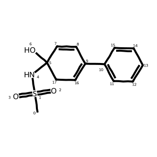 CS(=O)(=O)NC1(O)C=CC(c2ccccc2)=CC1